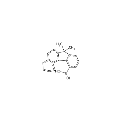 CC1(C)c2cccc(B(O)O)c2-c2c1ccc1ccccc21